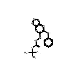 CC(C)(C)OC(=O)NNc1nc2nonc2nc1Nc1ccccc1